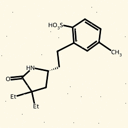 CCC1(CC)C[C@@H](CCc2cc(C)ccc2S(=O)(=O)O)NC1=O